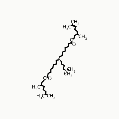 CC(C)=CCCC(C)CCOC(=O)CCCCCCCP(CCCCCCCC(=O)OCCC(C)CCC=C(C)C)CCCCN(C)C